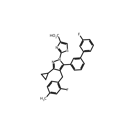 Cc1ccc(Cc2c(C3CC3)nn(-c3nc(C(=O)O)cs3)c2-c2cccc(-c3cccc(F)c3)c2)c(F)c1